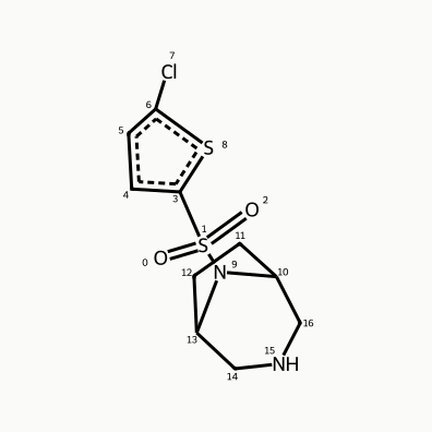 O=S(=O)(c1ccc(Cl)s1)N1C2CCC1CNC2